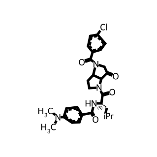 CC(C)C[C@H](NC(=O)c1ccc(N(C)C)cc1)C(=O)N1CCC2C1C(=O)CN2C(=O)c1ccc(Cl)cc1